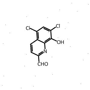 O=Cc1ccc2c(Cl)cc(Cl)c(O)c2n1